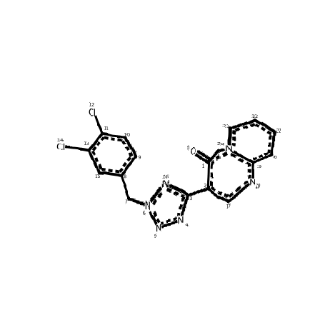 O=c1c(-c2nnn(Cc3ccc(Cl)c(Cl)c3)n2)cnc2ccccn12